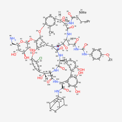 CCOc1ccc(NC(=O)NC(=O)C[C@@H]2NC(=O)[C@H](NC(=O)[C@@H](CC(C)C)NC)[C@H](O)c3ccc(c(C)c3)Oc3cc4cc(c3O[C@@H]3O[C@H](CN)[C@@H](O)[C@H](O)[C@H]3O)Oc3ccc(cc3Cl)[C@@H](O)[C@@H]3NC(=O)[C@H](NC(=O)[C@@H]4NC2=O)c2ccc(O)c(c2)-c2c(O)cc(O)cc2[C@@H](C(=O)NC2C4CC5CC(C4)CC2C5)NC3=O)cc1